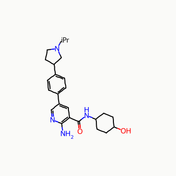 CC(C)N1CCC(c2ccc(-c3cnc(N)c(C(=O)NC4CCC(O)CC4)c3)cc2)C1